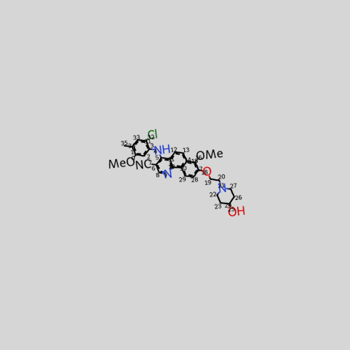 COc1cc(Nc2c(C#N)cnc3c2ccc2c(OC)c(OCCN4CCC(O)CC4)ccc23)c(Cl)cc1C